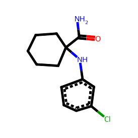 NC(=O)C1(Nc2cccc(Cl)c2)CCCCC1